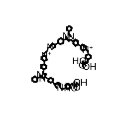 O=P(O)(O)Cc1ccc(C[n+]2ccc(-c3ccc(-c4cc(-c5ccc(-c6cc[n+](CCC[n+]7ccc(-c8ccc(-c9cc(-c%10ccc(-c%11cc[n+](Cc%12ccc(CP(=O)(O)O)cc%12)cc%11)cc%10)nc(-c%10ccccc%10)n9)cc8)cc7)cc6)cc5)nc(-c5ccccc5)n4)cc3)cc2)cc1